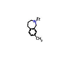 CCN1CCCc2ccc(C)cc2C1